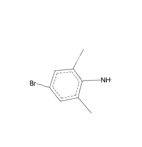 Cc1cc(Br)cc(C)c1[NH]